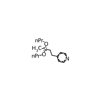 CCCO[Si](C)(CCc1ccncc1)OCCC